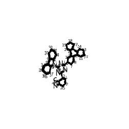 c1cc(-c2nc(-c3ccc4c5ccccc5c5ccccc5c4c3)nc(-n3c4ccccc4c4ccccc43)n2)c2scnc2c1